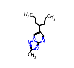 CCCC(CCC)c1cnc2nc(C)nn2c1